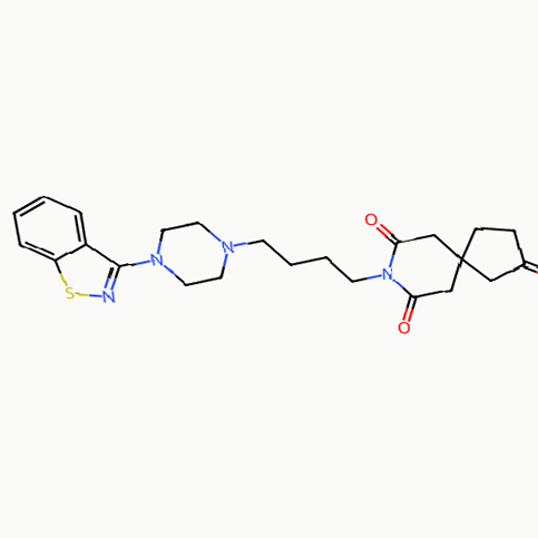 O=C1CCC2(C1)CC(=O)N(CCCCN1CCN(c3nsc4ccccc34)CC1)C(=O)C2